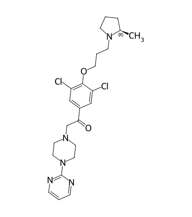 C[C@@H]1CCCN1CCCOc1c(Cl)cc(C(=O)CN2CCN(c3ncccn3)CC2)cc1Cl